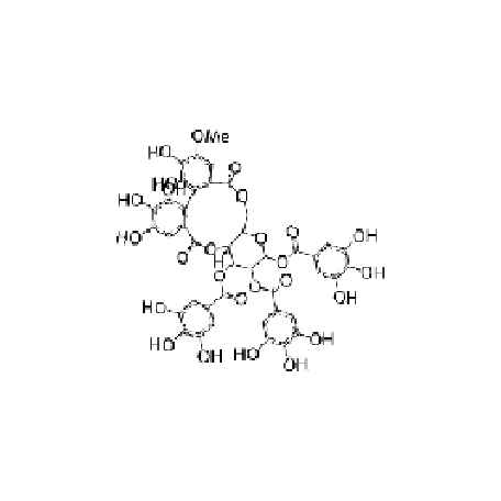 COc1cc2c(c(O)c1O)-c1c(cc(O)c(O)c1O)C(=O)O[C@@H]1C(COC2=O)O[C@@H](OC(=O)c2cc(O)c(O)c(O)c2)C(OC(=O)c2cc(O)c(O)c(O)c2)C1OC(=O)c1cc(O)c(O)c(O)c1